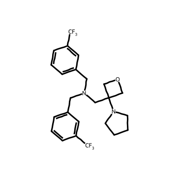 FC(F)(F)c1cccc(CN(Cc2cccc(C(F)(F)F)c2)CC2(N3CCCC3)COC2)c1